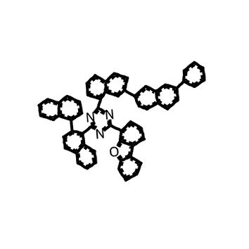 c1ccc(-c2ccc3ccc(-c4ccc5cccc(-c6nc(-c7c(-c8cccc9ccccc89)ccc8ccccc78)nc(-c7cccc8c7oc7ccccc78)n6)c5c4)cc3c2)cc1